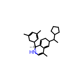 CC1=CC([C@]2(C)NC=C(C)C3=CC(C(C)C4CCCC4)CC=C32)CC(C)=C1